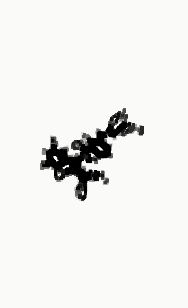 CN(CCO)Cc1cccc(C(=O)Nc2c(C(N)=O)oc3c(F)cc(F)cc23)c1